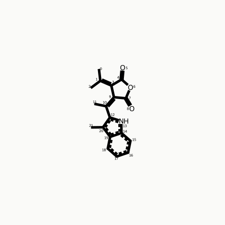 CC(C)=C1C(=O)OC(=O)C1=C(C)c1[nH]c2ccccc2c1C